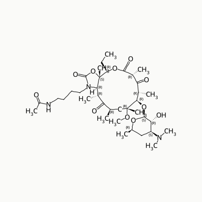 CC[C@H]1OC(=O)[C@H](C)C(=O)[C@H](C)[C@@H](O[C@@H]2O[C@H](C)C[C@H](N(C)C)[C@H]2O)[C@](C)(OC)C[C@@H](C)C(=O)[C@H](C)[C@H]2N(CCCCNC(C)=O)C(=O)O[C@]12C